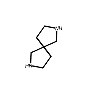 C1CC2(CCNC2)CN1